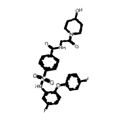 O=C(NCC(=O)N1CCC(O)CC1)c1ccc(S(=O)(=O)Nc2cc(F)ccc2Oc2ccc(F)cc2)cc1